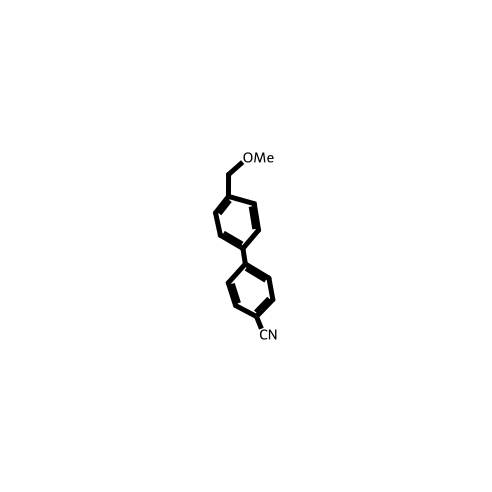 COCc1ccc(-c2ccc(C#N)cc2)cc1